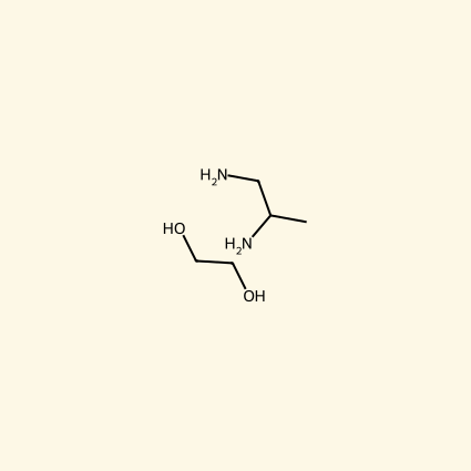 CC(N)CN.OCCO